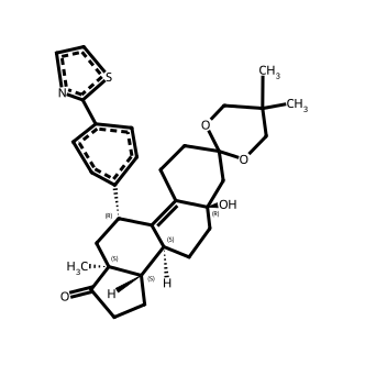 CC1(C)COC2(CCC3=C4[C@@H](CC[C@@]3(O)C2)[C@@H]2CCC(=O)[C@@]2(C)C[C@@H]4c2ccc(-c3nccs3)cc2)OC1